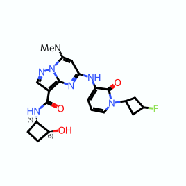 CNc1cc(Nc2cccn(C3CC(F)C3)c2=O)nc2c(C(=O)N[C@H]3CC[C@@H]3O)cnn12